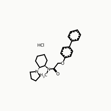 CN(C(=O)COc1ccc(-c2ccccc2)cc1)[C@@H]1CCCC[C@H]1N1CCCC1.Cl